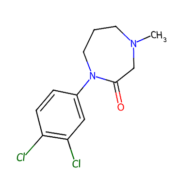 CN1CCCN(c2ccc(Cl)c(Cl)c2)C(=O)C1